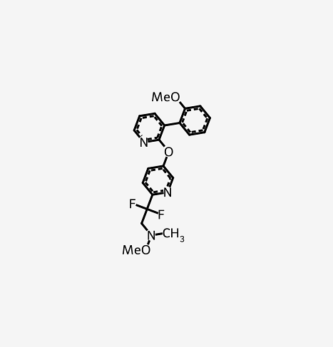 COc1ccccc1-c1cccnc1Oc1ccc(C(F)(F)CN(C)OC)nc1